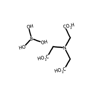 O=C(O)CN(CC(=O)O)CC(=O)O.OB(O)O